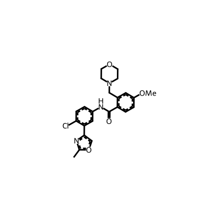 COc1ccc(C(=O)Nc2ccc(Cl)c(-c3coc(C)n3)c2)c(CN2CCOCC2)c1